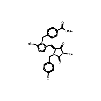 CCCCc1ncc(/C=C2/C(=O)N(CCCC)C(=O)N2Cc2ccc(Cl)cc2)n1Cc1ccc(C(=O)OC)cc1